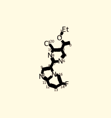 C=C(OCC)c1cnc(-c2cnc3ccc(F)cn23)nc1Cl